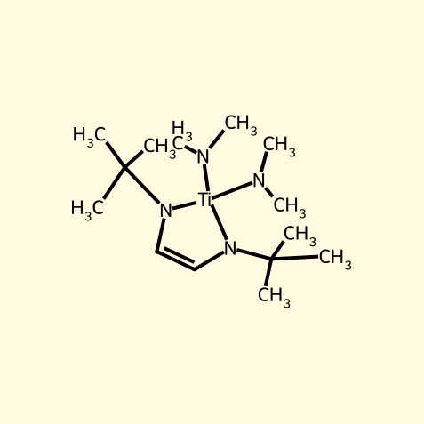 C[N](C)[Ti]1([N](C)C)[N](C(C)(C)C)C=C[N]1C(C)(C)C